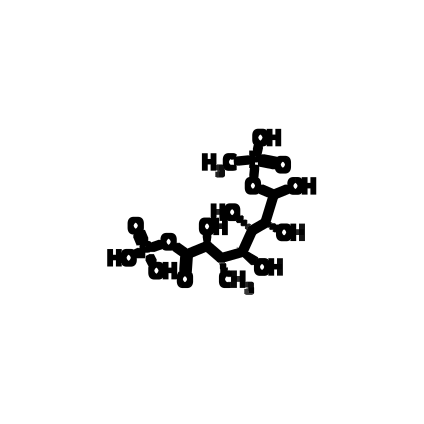 C[C@@H]([C@H](O)[C@H](O)[C@@H](O)C(O)OP(C)(=O)O)[C@H](O)C(=O)OP(=O)(O)O